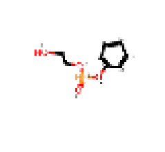 O=[PH](OCCO)Oc1ccccc1